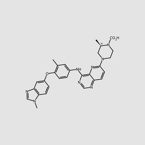 Cc1cc(Nc2ncnc3ccc(N4CCN(C(=O)O)[C@H](C)C4)nc23)ccc1Oc1ccc2c(c1)ncn2C